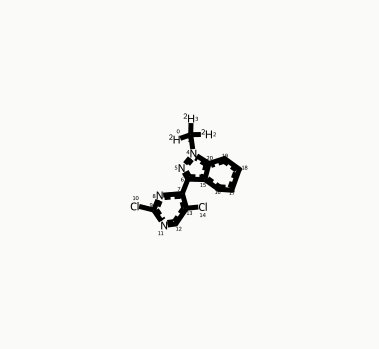 [2H]C([2H])([2H])n1nc(-c2nc(Cl)ncc2Cl)c2ccccc21